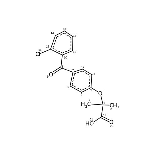 CC(C)(Oc1ccc(C(=O)c2ccccc2Cl)cc1)C(=O)O